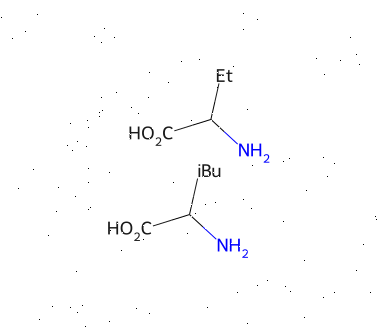 CCC(C)C(N)C(=O)O.CCC(N)C(=O)O